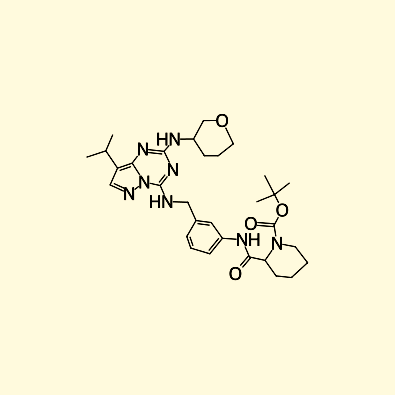 CC(C)c1cnn2c(NCc3cccc(NC(=O)C4CCCCN4C(=O)OC(C)(C)C)c3)nc(NC3CCCOC3)nc12